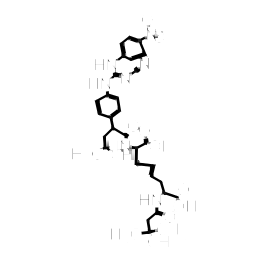 CC(C)CC(C(=O)NC(CC=CCC(NC(=O)CC(C)(C)C)C(=O)O)C(=O)O)c1ccc(NC(=NC#N)Nc2ccc([N+](=O)[O-])cc2)cc1